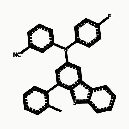 Cc1ccccc1-c1cc(N(c2ccc(F)cc2)c2cccc(C#N)c2)cc2c1sc1ccccc12